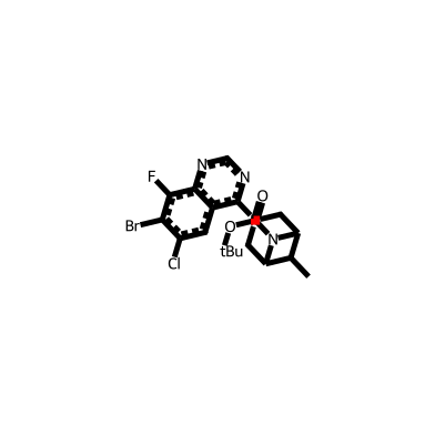 CC1C2CN(c3ncnc4c(F)c(Br)c(Cl)cc34)CC1N2C(=O)OC(C)(C)C